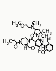 C=CC(=O)N1CCN2C(=O)c3c(N4CC(N(C)CCOC)CC4(C)C)nc(-c4c(O)cccc4F)c(F)c3OC[C@H]2C1